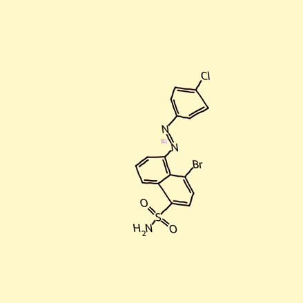 NS(=O)(=O)c1ccc(Br)c2c(/N=N/c3ccc(Cl)cc3)cccc12